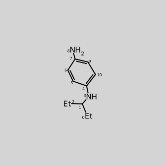 CCC(CC)Nc1ccc(N)cc1